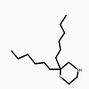 CCCCCCC1(CCCCCC)CNCCS1